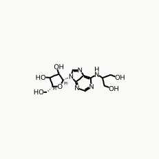 OCC(CO)Nc1ncnc2c1ncn2[C@@H]1O[C@H](CO)C(O)C1O